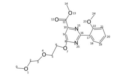 COCCOCCOc1cc(C(=O)OC)nc(-c2ccccc2OC)n1